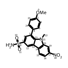 COc1ccc(-c2cc(S(N)(=O)=O)cc3c4ccc([N+](=O)[O-])cc4n(C)c23)cc1